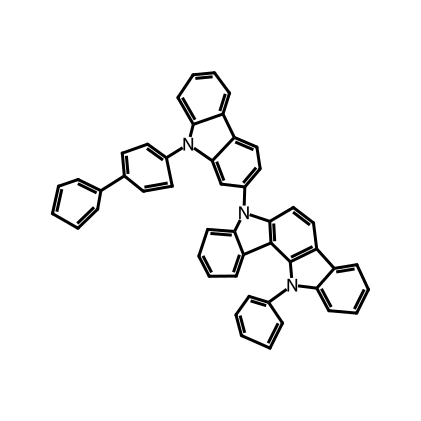 c1ccc(-c2ccc(-n3c4ccccc4c4ccc(-n5c6ccccc6c6c5ccc5c7ccccc7n(-c7ccccc7)c56)cc43)cc2)cc1